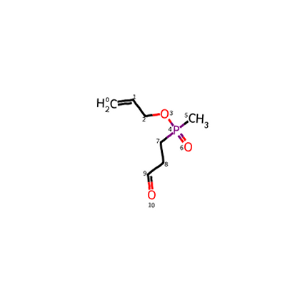 C=CCOP(C)(=O)CCC=O